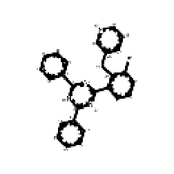 Fc1cccc(-c2nc(-c3ccccc3)nc(-c3ccccc3)n2)c1Cc1cccnc1